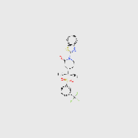 CC(C)([C@H]1CCN(c2nc3ccccc3s2)C(=O)C1)S(=O)(=O)c1cccc(C(F)(F)F)c1